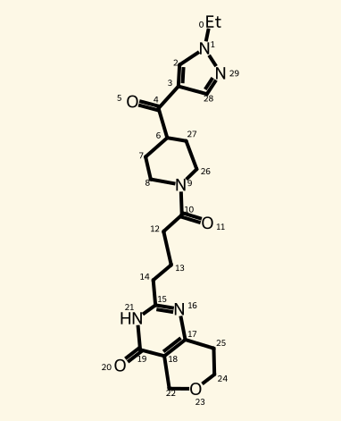 CCn1cc(C(=O)C2CCN(C(=O)CCCc3nc4c(c(=O)[nH]3)COCC4)CC2)cn1